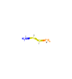 NSSP